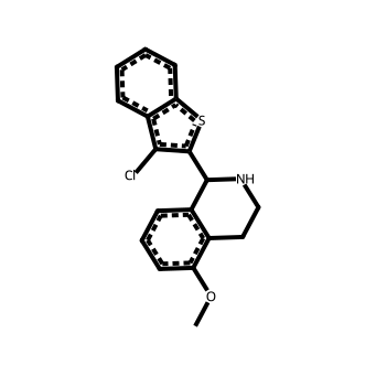 COc1cccc2c1CCNC2c1sc2ccccc2c1Cl